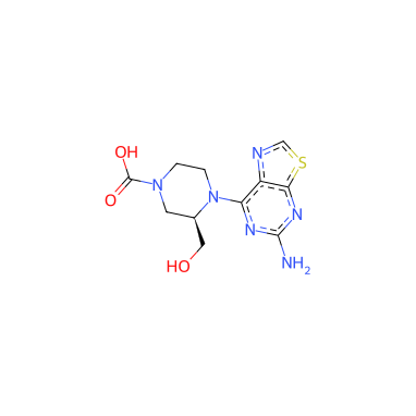 Nc1nc(N2CCN(C(=O)O)C[C@@H]2CO)c2ncsc2n1